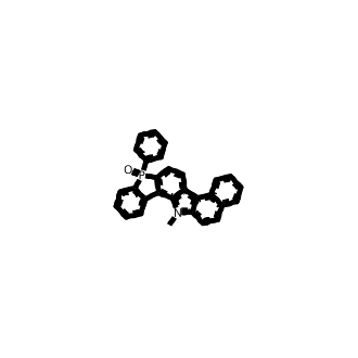 Cn1c2ccc3ccccc3c2c2ccc3c(c21)-c1ccccc1P3(=O)c1ccccc1